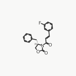 O=C(C=Cc1cccc(F)c1)N1C(=O)OC[C@@H]1Cc1ccccc1